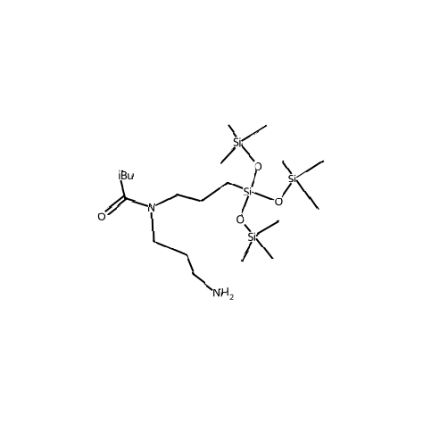 CCC(C)C(=O)N(CCCN)CCC[Si](O[Si](C)(C)C)(O[Si](C)(C)C)O[Si](C)(C)C